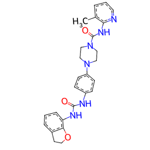 Cc1cccnc1NC(=O)N1CCN(c2ccc(NC(=O)Nc3cccc4c3OCC4)cc2)CC1